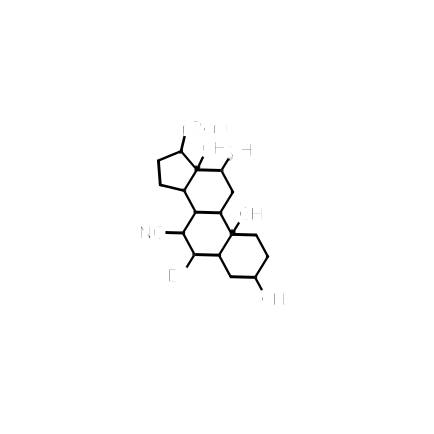 CCCCCC1CCC2C3C(C#N)C(CC)C4CC(C)CCC4(C)C3CC(C)C12C